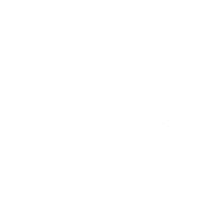 C1=CCC2(C=C1)c1c(ccc3ccccc13)-c1cc3c(c4cc5ccccc5c2c14)-c1c-3ccc2ccccc12